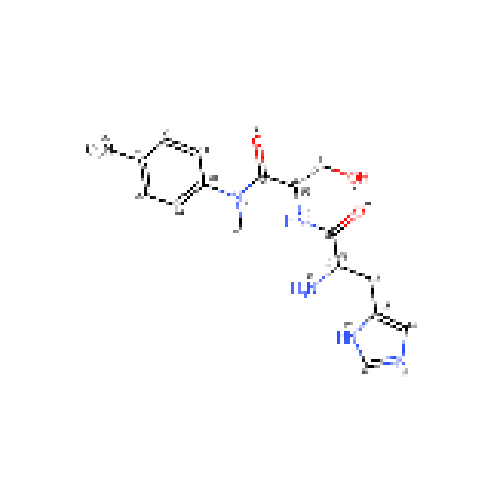 CN(C(=O)[C@H](CO)NC(=O)[C@@H](N)Cc1cnc[nH]1)c1ccc([N+](=O)[O-])cc1